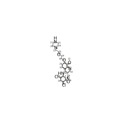 COc1cc(Nc2c(C#N)cnc3c(OC)c(OCCOCCN4CCNCC4)ccc23)c(Cl)cc1Cl